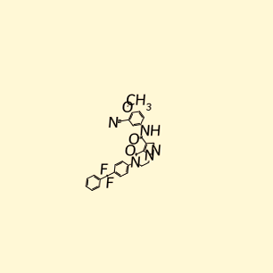 COc1ccc(NC(=O)c2cnn3c2C(=O)N(c2ccc(C(F)(F)c4ccccc4)cc2)CC3)cc1C#N